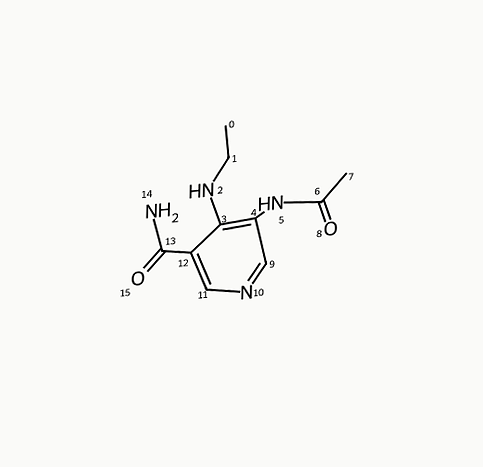 CCNc1c(NC(C)=O)cncc1C(N)=O